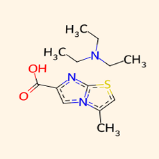 CCN(CC)CC.Cc1csc2nc(C(=O)O)cn12